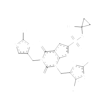 Cc1ncc(Cn2c(=O)c3cc(S(=O)(=O)NC4(C)CC4)sc3n(Cc3sc(C)nc3C)c2=O)s1